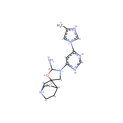 Cc1cn(-c2cc(N3CC4(CN5CCC4CC5)OC3N)ncn2)cn1